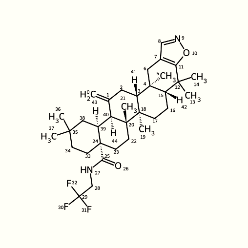 C=C1C[C@@H]2[C@@]3(C)Cc4cnoc4C(C)(C)[C@@H]3CC[C@@]2(C)[C@]2(C)CC[C@@]3(C(=O)NCC(F)(F)F)CCC(C)(C)C[C@H]3[C@@H]12